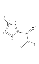 CC(C)C(=O)c1cn(C)cn1